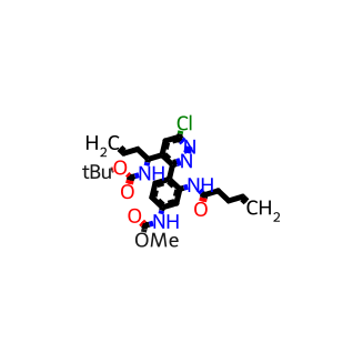 C=CCCC(=O)Nc1cc(NC(=O)OC)ccc1-c1nnc(Cl)cc1C(CC=C)NC(=O)OC(C)(C)C